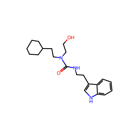 O=C(NCCc1c[nH]c2ccccc12)N(CCO)CCC1CCCCC1